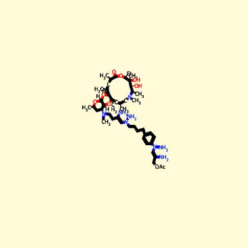 CC[C@H]1OC(=O)[C@H](C)C[C@H](C)[C@H]2O[C@@H]3O[C@H](C)C[C@H](N(C)CC/C(N)=C/N(N)CCCCc4ccc(N(N)/C=C(\N)COC(C)=O)cc4)[C@H]3O[C@]2(C)C[C@@H](C)CN(C)[C@H](C)[C@@H](O)[C@]1(C)O